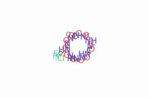 CCC(C)[C@@H]1NC(=O)[C@H](CC(C)C)N(C)C(=O)C[C@@H](C)NC(=O)[C@H](C(C)C)N(C)C(=O)C2(CCCC2)NC(=O)[C@@H]2CCCN2C(=O)[C@H](CCc2ccc(C(F)(F)F)c(Cl)c2)NC(=O)CN(C)C(=O)[C@H](CC2CCCCC2)N(C)C(=O)CN(C)C(=O)CN(C)C1=O